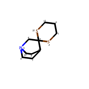 C1CSC2(CN3CCC2CC3)SC1